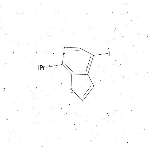 CC(C)c1ccc(I)c2ccsc12